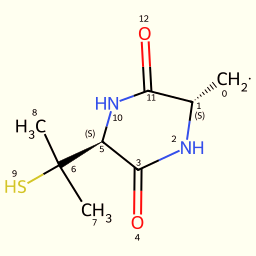 [CH2][C@@H]1NC(=O)[C@@H](C(C)(C)S)NC1=O